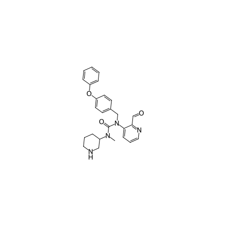 CN(C(=O)N(Cc1ccc(Oc2ccccc2)cc1)c1cccnc1C=O)C1CCCNC1